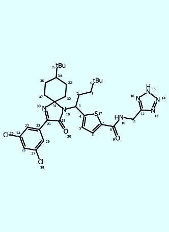 CC(C)(C)CCC(c1ccc(C(=O)NCc2nn[nH]n2)s1)N1C(=O)C(c2cc(Cl)cc(Cl)c2)=NC12CCC(C(C)(C)C)CC2